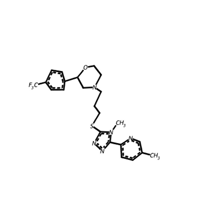 Cc1ccc(-c2nnc(SCCCN3CCOC(c4ccc(C(F)(F)F)cc4)C3)n2C)nc1